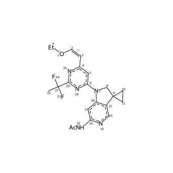 CCO/C=C\c1cc(N2CC3(CC3)c3cnc(NC(C)=O)cc32)nc(C(C)(F)F)n1